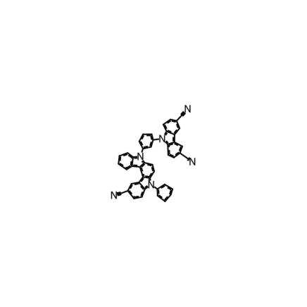 N#Cc1ccc2c(c1)c1cc(C#N)ccc1n2-c1cccc(-n2c3ccccc3c3c4c5cc(C#N)ccc5n(-c5ccccc5)c4ccc32)c1